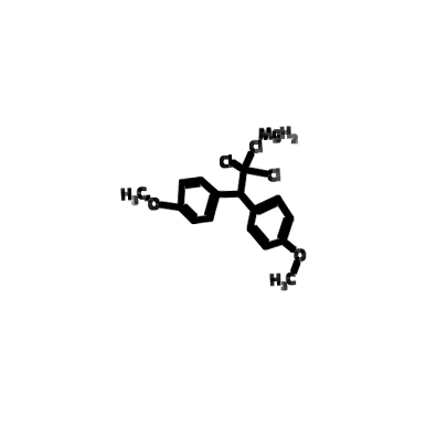 COc1ccc(C(c2ccc(OC)cc2)C(Cl)(Cl)Cl)cc1.[MgH2]